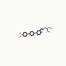 CS(=O)(=O)c1ccc(-c2ccc(-c3cc4cc(CC5CCOCC5)[nH]c4cc3Cl)cc2)cc1